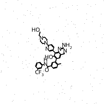 Cc1ccc(C(=O)Nc2cccc(C(F)(F)F)c2)cc1-c1cc2cnc(N)nc2c(-c2ccc(N3CCN(CCO)CC3)nc2)c1O